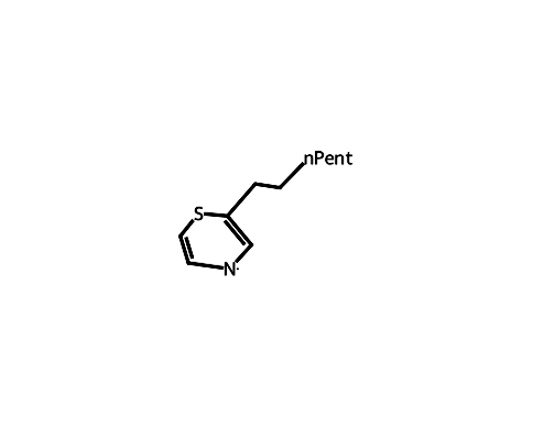 CCCCCCCC1=C[N]C=CS1